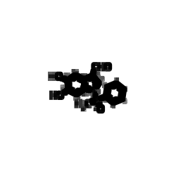 C=S(=O)(c1ccccc1)n1cc(C=O)c2cc(O)c(O)cc21